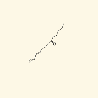 CCCCCC(=O)CCCC=CC=O